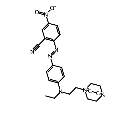 CCN(CC[N+]12CCN(CC1)CC2)c1ccc(N=Nc2ccc([N+](=O)[O-])cc2C#N)cc1